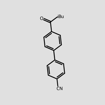 CCC(C)C(=O)c1ccc(-c2ccc(C#N)cc2)cc1